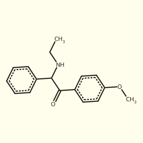 CCNC(C(=O)c1ccc(OC)cc1)c1ccccc1